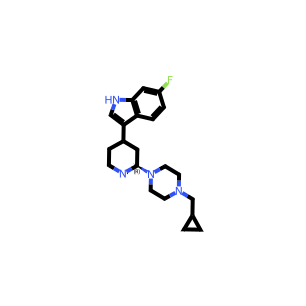 Fc1ccc2c(C3CC[N][C@H](N4CCN(CC5CC5)CC4)C3)c[nH]c2c1